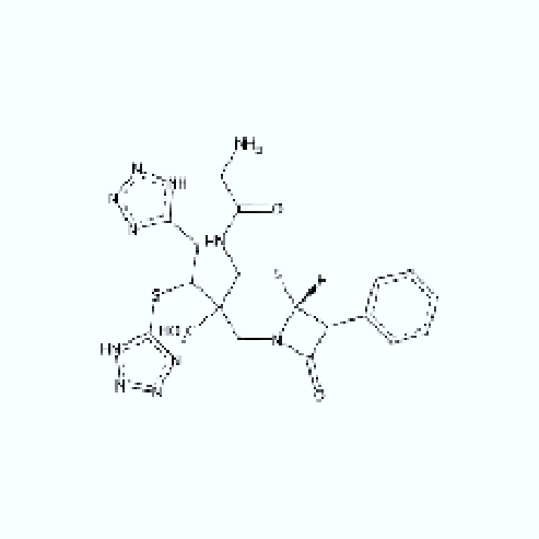 NCC(=O)NC1S[C@@H]2C(c3ccccc3)C(=O)N2CC1(C(=O)O)C(Cc1nnn[nH]1)Sc1nnn[nH]1